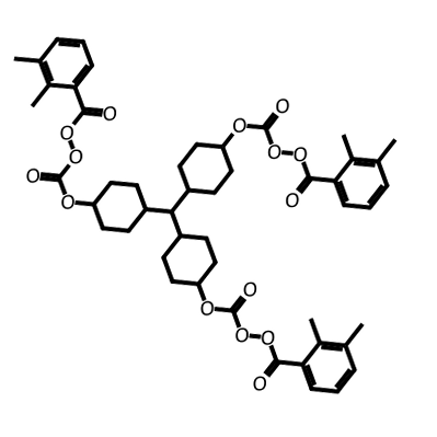 Cc1cccc(C(=O)OOC(=O)OC2CCC(C(C3CCC(OC(=O)OOC(=O)c4cccc(C)c4C)CC3)C3CCC(OC(=O)OOC(=O)c4cccc(C)c4C)CC3)CC2)c1C